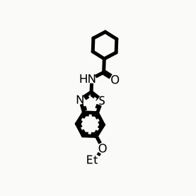 CCOc1ccc2nc(NC(=O)C3CCCCC3)sc2c1